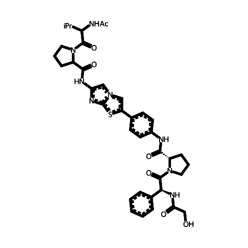 CC(=O)NC(C(=O)N1CCCC1C(=O)Nc1cn2cc(-c3ccc(NC(=O)[C@@H]4CCCN4C(=O)[C@@H](NC(=O)CO)c4ccccc4)cc3)sc2n1)C(C)C